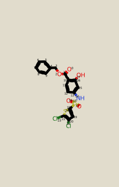 O=C(OCc1ccccc1)c1ccc(NS(=O)(=O)c2cc(Cl)c(Cl)s2)cc1O